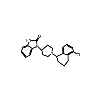 O=c1[nH]c2ccccc2n1C1CCN(C2CCCc3c(Cl)cccc32)CC1